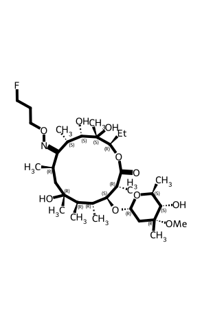 CC[C@H]1OC(=O)[C@H](C)[C@@H](O[C@H]2C[C@@](C)(OC)[C@@H](O)[C@H](C)O2)[C@H](C)[C@@H](C)[C@](C)(O)C[C@@H](C)C(=NOCCCF)[C@H](C)[C@H](O)[C@]1(C)O